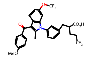 COc1ccc(C(=O)c2c(C)n(-c3cccc(CC(CCC(F)(F)F)C(=O)O)c3)c3cc(OC(F)(F)F)ccc23)cc1